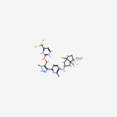 Cc1nc(-c2nnn(C)c2COc2nccc(C(F)F)n2)ccc1O[C@H]1C[C@@H]2CC[C@](F)(C(=O)O)[C@@H]2C1